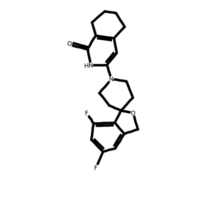 O=c1[nH]c(N2CCC3(CC2)OCc2cc(F)cc(F)c23)cc2c1CCCC2